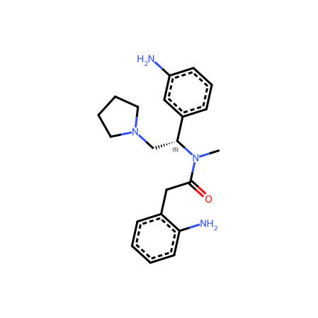 CN(C(=O)Cc1ccccc1N)[C@H](CN1CCCC1)c1cccc(N)c1